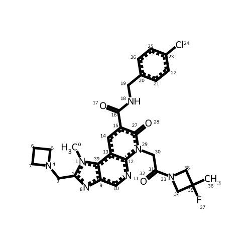 Cn1c(CN2CCC2)nc2cnc3c(cc(C(=O)NCc4ccc(Cl)cc4)c(=O)n3CC(=O)N3CC(C)(F)C3)c21